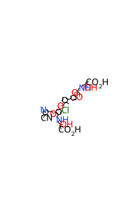 Cc1c(COc2cc(OCc3cncc(C#N)c3)c(CNCC(O)CC(=O)O)cc2Cl)cccc1-c1ccc2c(c1)OC(CNCC(O)CC(=O)O)CO2